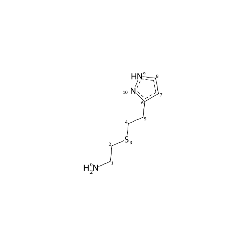 NCCSCCc1cc[nH]n1